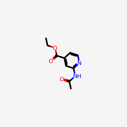 CCOC(=O)c1ccnc(NC(C)=O)c1